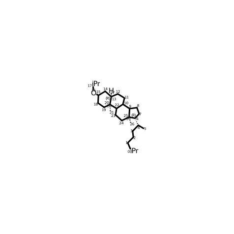 CC(C)CCCC(C)[C@H]1CCC2C3CC[C@@H]4CC(OC(C)C)CC[C@]4(C)C3CC[C@@]21C